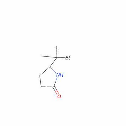 CCC(C)(C)C1CCC(=O)N1